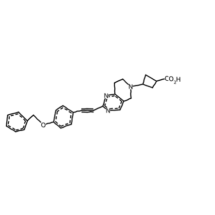 O=C(O)C1CC(N2CCc3nc(C#Cc4ccc(OCc5ccccc5)cc4)ncc3C2)C1